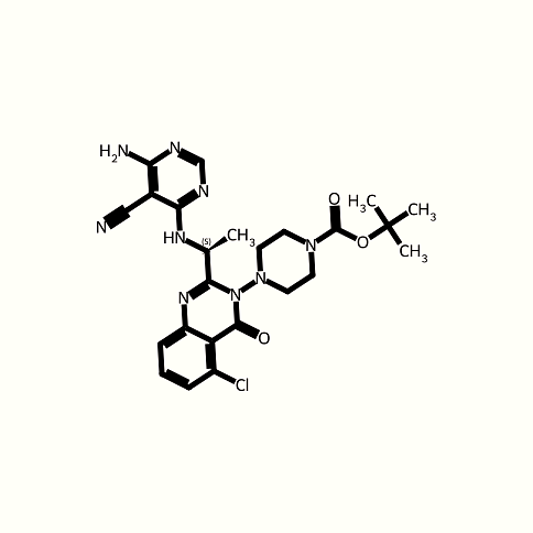 C[C@H](Nc1ncnc(N)c1C#N)c1nc2cccc(Cl)c2c(=O)n1N1CCN(C(=O)OC(C)(C)C)CC1